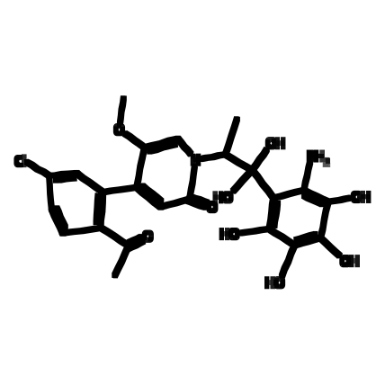 Bc1c(O)c(O)c(O)c(O)c1C(O)(O)C(C)n1cc(OC)c(-c2cc(Cl)ccc2C(C)=O)cc1=O